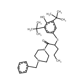 CCCC(Sc1cc(C(C)(C)C)c(O)c(C(C)(C)C)c1)C(=O)N1CCN(Cc2ccccc2)CC1